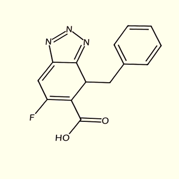 O=C(O)C1=C(F)C=C2N=NN=C2C1Cc1ccccc1